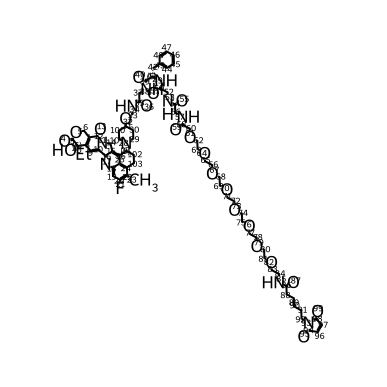 CC[C@@]1(O)C(=O)OCc2c1cc1n(c2=O)Cc2c-1nc1cc(F)c(C)c3c1c2[C@@H](N1CCC(OCNC(=O)CNC(=O)[C@H](Cc2ccccc2)NC(=O)CNC(=O)CNC(=O)COCCOCCOCCOCCOCCOCCOCCOCCNC(=O)CCCCCN2C(=O)C=CC2=O)CC1)CC3